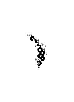 CN(C(=O)NCCN1CC[C@H](O)C1)[C@H]1CC[C@@]2(C)[C@H](CC[C@@H]3[C@@H]2CC[C@]2(C)[C@@H](C4=CC(=O)OC4)CC[C@]32O)C1